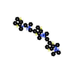 c1ccc(-c2nc(-n3c4ccccc4c4c5sc6cc(-c7ccc(-c8nc(-n9c%10ccccc%10c%10c%11sc%12cc(-c%13ccc%14nc(-c%15cccc(-n%16c%17ccccc%17c%17c%18sc%19ccccc%19c%18c%18c(ccc%19sc%20ccccc%20c%19%18)c%17%16)c%15)n(-c%15ccccc%15)c%14c%13)ccc%12c%11c%11c(ccc%12sc%13ccccc%13c%12%11)c%109)nc9ccccc89)cc7)ccc6c5c5c(ccc6sc7ccccc7c65)c43)nc3ccccc23)cc1